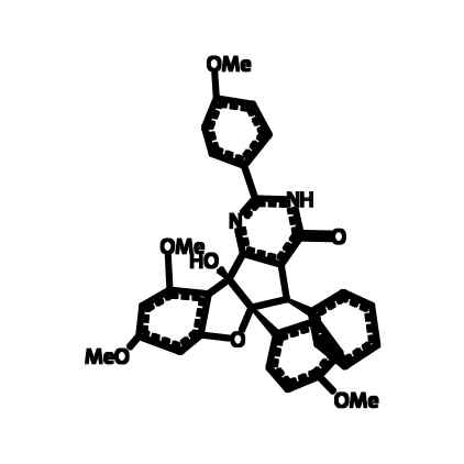 COc1ccc(-c2nc3c(c(=O)[nH]2)[C@@H](c2ccccc2)[C@]2(c4ccc(OC)cc4)Oc4cc(OC)cc(OC)c4[C@]32O)cc1